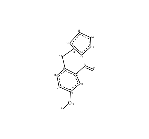 C=Cc1cc(OC)ccc1Cc1ccccc1